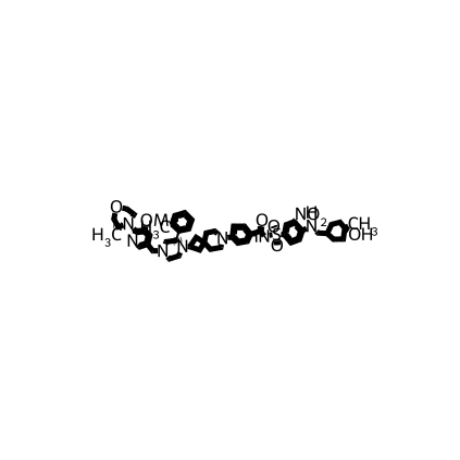 COc1cc(CN2CCN(C3CC4(CCN(c5ccc(C(=O)NS(=O)(=O)c6ccc(NCC7CCC(C)(O)CC7)c([N+](=O)[O-])c6)cc5)CC4)C3)[C@H](c3ccccc3C)C2)cnc1N1CCOC[C@H]1C